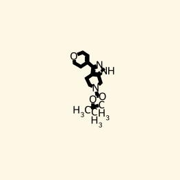 CC(C)(C)OC(=O)N1CCc2c(C3=CCOCC3)n[nH]c2C1